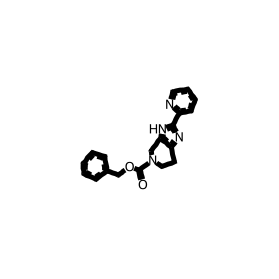 O=C(OCc1ccccc1)N1CCc2nc(-c3ccccn3)[nH]c2C1